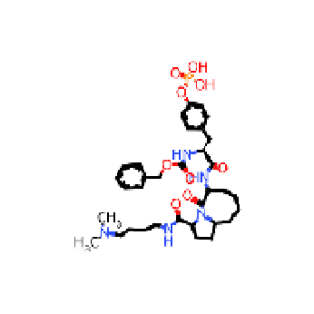 CN(C)CCCCNC(=O)C1CCC2CCCCC(NC(=O)[C@H](Cc3ccc(OP(=O)(O)O)cc3)NC(=O)OCc3ccccc3)C(=O)N21